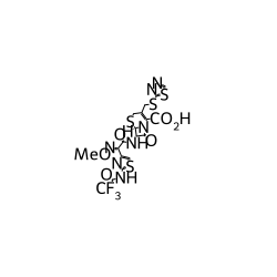 CO/N=C(/C(=O)NC1C(=O)N2C(C(=O)O)=C(CSc3nncs3)CS[C@H]12)c1csc(NC(=O)C(F)(F)F)n1